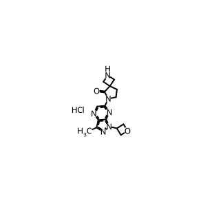 Cc1nn(C2COC2)c2nc(N3CCC4(CNC4)C3=O)cnc12.Cl